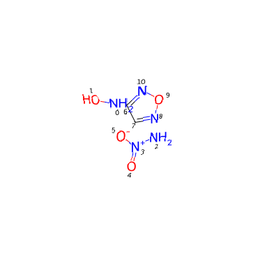 NO.N[N+](=O)[O-].c1cnon1